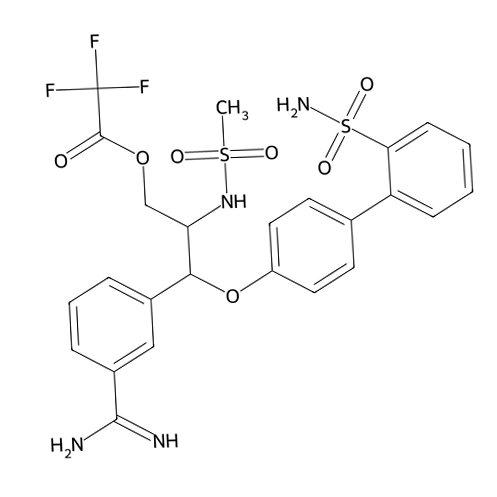 CS(=O)(=O)NC(COC(=O)C(F)(F)F)C(Oc1ccc(-c2ccccc2S(N)(=O)=O)cc1)c1cccc(C(=N)N)c1